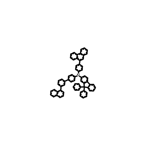 c1ccc(C2(c3ccccc3)c3ccccc3-c3ccc(N(c4ccc(-c5cccc(-c6cccc7ccccc67)c5)cc4)c4ccc(-c5cc6ccccc6c6ccccc56)cc4)cc32)cc1